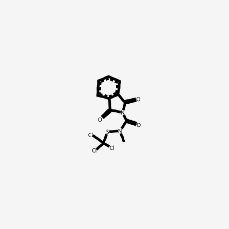 CN(SC(Cl)(Cl)Cl)C(=O)N1C(=O)c2ccccc2C1=O